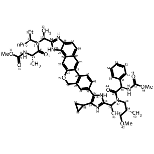 CCC[C@@H](CC)N(C(=O)[C@H](C)NC(=O)OC)[C@@H](C)c1nc2ccc3cc4c(cc3c2[nH]1)OCc1cc(-c2[nH]c([C@H](C)N(C[C@H](C)COC)C(=O)[C@H](NC(=O)OC)c3ccccc3)nc2C2CC2)ccc1-4